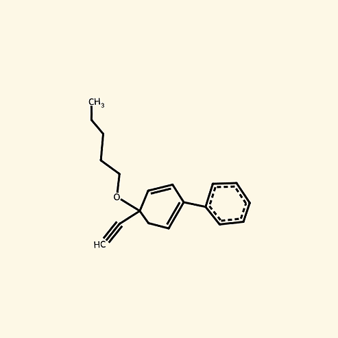 C#CC1(OCCCCC)C=CC(c2ccccc2)=CC1